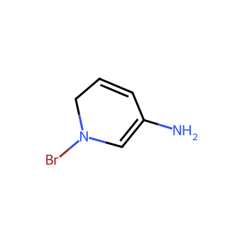 NC1=CN(Br)CC=C1